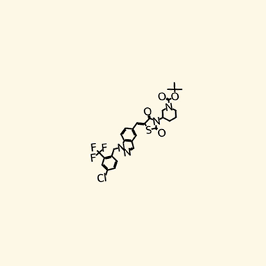 CC(C)(C)OC(=O)N1CCCC(N2C(=O)SC(=Cc3ccc4c(cnn4Cc4ccc(Cl)cc4C(F)(F)F)c3)C2=O)C1